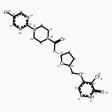 O=C(C[C@@H]1CC[C@@H](COc2cn[nH]c(=O)c2C(F)(F)F)O1)N1CCN(c2ncc(Cl)cn2)CC1